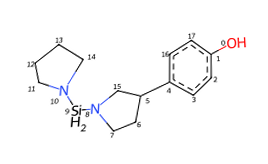 Oc1ccc(C2CCN([SiH2]N3CCCC3)C2)cc1